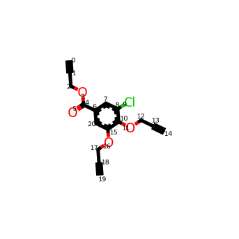 C#CCOC(=O)c1cc(Cl)c(OCC#C)c(OCC#C)c1